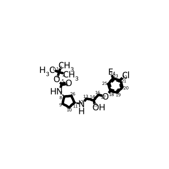 CC(C)(C)OC(=O)N[C@H]1CC[C@H](NCC(O)COc2ccc(Cl)c(F)c2)C1